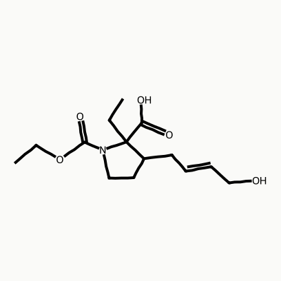 CCOC(=O)N1CCC(CC=CCO)C1(CC)C(=O)O